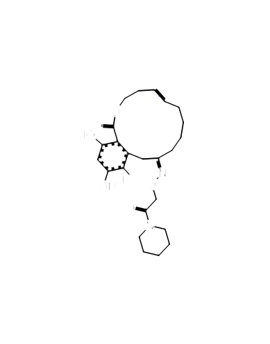 Cc1c(O)cc(O)c2c1C/C(=N\OCC(=O)N1CCCCC1)CCCC/C=C/CCOC2=O